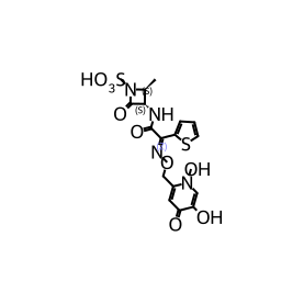 C[C@H]1[C@H](NC(=O)/C(=N/OCc2cc(=O)c(O)cn2O)c2cccs2)C(=O)N1S(=O)(=O)O